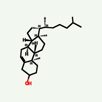 CC(C)CCC[C@@H](C)[C@H]1CC[C@H]2[C@@H]3CC=C4C[C](O)CC[C@]4(C)[C@H]3CC[C@]12C